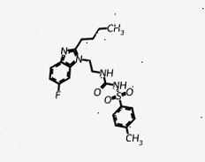 CCCCc1nc2ccc(F)cc2n1CCNC(=O)NS(=O)(=O)c1ccc(C)cc1